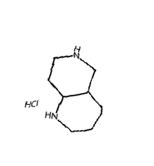 C1CNC2CCNCC2C1.Cl